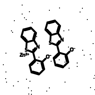 [O-]c1ccccc1-c1nc2ccccc2s1.[O-]c1ccccc1-c1nc2ccccc2s1.[Zn+2]